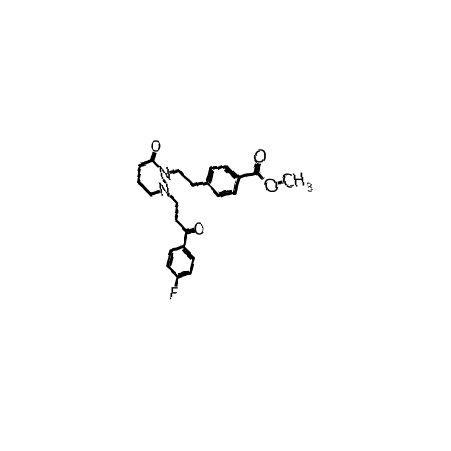 COC(=O)c1ccc(CCN2C(=O)CCCN2CCC(=O)c2ccc(F)cc2)cc1